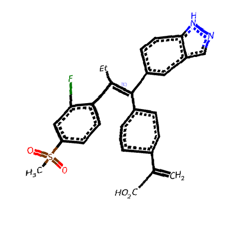 C=C(C(=O)O)c1ccc(/C(=C(/CC)c2ccc(S(C)(=O)=O)cc2F)c2ccc3[nH]ncc3c2)cc1